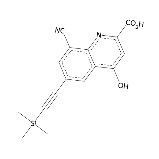 C[Si](C)(C)C#Cc1cc(C#N)c2nc(C(=O)O)cc(O)c2c1